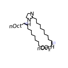 CCCCCCCC/C=C\CCCCCCCC(=O)O.CCCCCCCC/C=C\CCCCCCCCC1=NCCN1